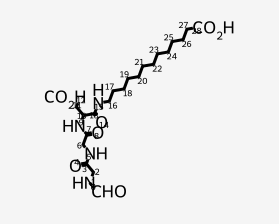 O=CNCC(=O)NCC(=O)NC(CC(=O)O)C(=O)NCCCCCCCCCCCCC(=O)O